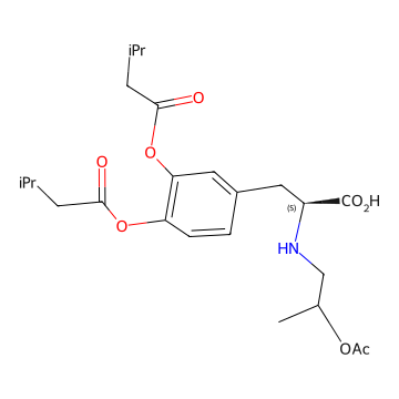 CC(=O)OC(C)CN[C@@H](Cc1ccc(OC(=O)CC(C)C)c(OC(=O)CC(C)C)c1)C(=O)O